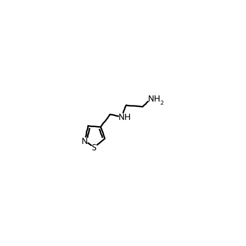 NCCNCc1cnsc1